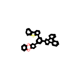 c1ccc2c(c1)Oc1ccc(-c3cc(-c4ccc5c6ccccc6c6ccccc6c5c4)cc(-c4cccc5c4sc4ccccc45)c3)cc1O2